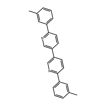 Cc1cccc(-c2ccc(-c3ccc(-c4cccc(C)c4)nc3)cn2)c1